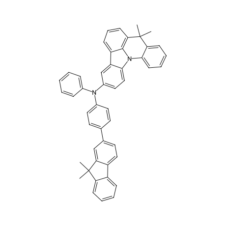 CC1(C)c2ccccc2-c2ccc(-c3ccc(N(c4ccccc4)c4ccc5c(c4)c4cccc6c4n5-c4ccccc4C6(C)C)cc3)cc21